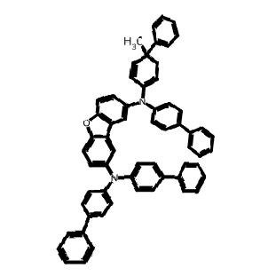 CC1(c2ccccc2)C=CC(N(c2ccc(-c3ccccc3)cc2)c2ccc3oc4ccc(N(c5ccc(-c6ccccc6)cc5)c5ccc(-c6ccccc6)cc5)cc4c3c2)=CC1